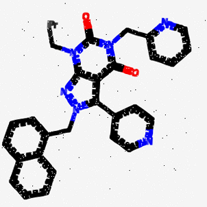 CC(C)Cn1c(=O)n(Cc2ccccn2)c(=O)c2c(-c3ccncc3)n(Cc3cccc4ccccc34)nc21